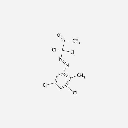 Cc1c(Cl)cc(Cl)cc1N=NC(Cl)(Cl)C(=O)C(F)(F)F